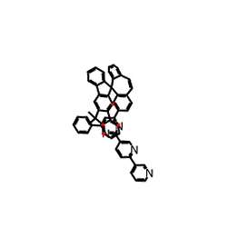 CC1(C)c2ccccc2-c2cc3c(cc21)-c1ccccc1C31c2ccccc2C=Cc2ccc(-c3cc(-c4ccccc4)nc(-c4ccc(-c5cccnc5)nc4)n3)cc21